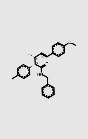 COc1ccc(/C=C/[C@@H](C)[C@H](C(=O)NCc2ccccc2)c2ccc(C)cc2)cc1